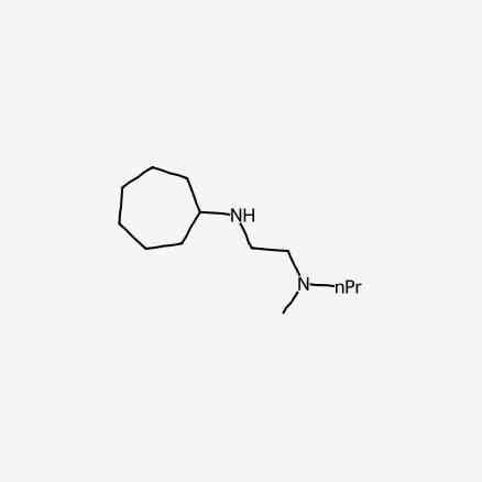 CCCN(C)CCNC1CCCCCC1